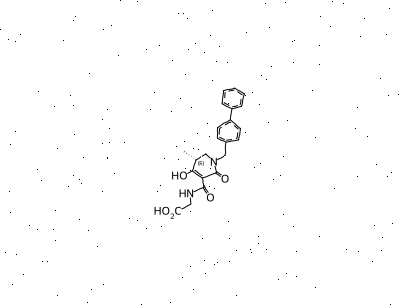 C[C@@H]1CN(Cc2ccc(-c3ccccc3)cc2)C(=O)C(C(=O)NCC(=O)O)=C1O